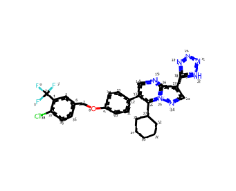 FC(F)(F)c1cc(COc2ccc(-c3cnc4c(-c5nnn[nH]5)cnn4c3C3CCCCC3)cc2)ccc1Cl